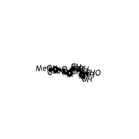 COC(=O)c1ccc(CNC(=O)Cc2cccc(CC(C)(C)NC[C@@H](O)c3ccc(O)c(NC=O)c3)c2)cc1